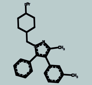 CCCC1CCC(Cn2nc(C)c(-c3cccc(C)c3)c2-c2ccccc2)CC1